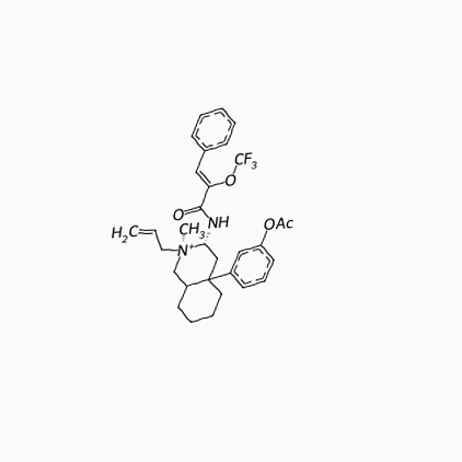 C=CC[N@+]1(C)CC2CCCCC2(c2cccc(OC(C)=O)c2)C[C@H]1NC(=O)C(=Cc1ccccc1)OC(F)(F)F